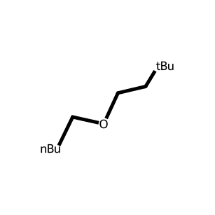 CCCCCOCCC(C)(C)C